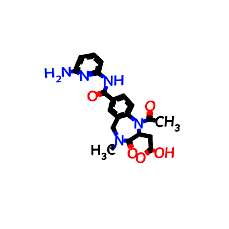 CC(=O)N1c2ccc(C(=O)Nc3cccc(N)n3)cc2CN(C)C(=O)C1CC(=O)O